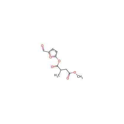 COC(=O)CC(C)C(=O)Oc1ccc(C=O)o1